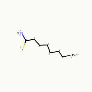 CCCCCCCCCCCC(N)S